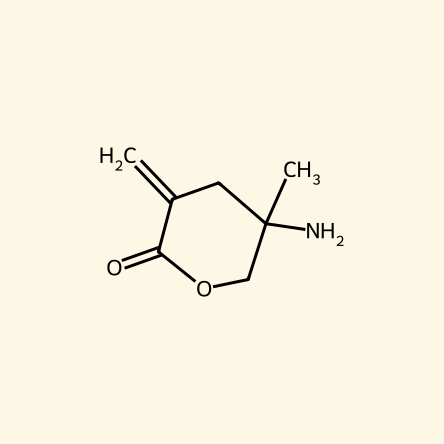 C=C1CC(C)(N)COC1=O